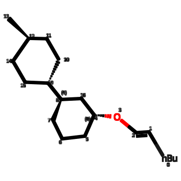 CCCCC=CO[C@@H]1CCC[C@@H]([C@H]2CC[C@H](C)CC2)C1